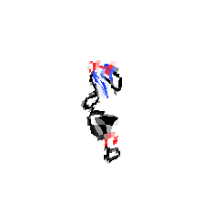 Oc1cc(-c2cccc(-c3ccc(OCc4ccccc4)cc3)c2)nn1-c1ccccn1